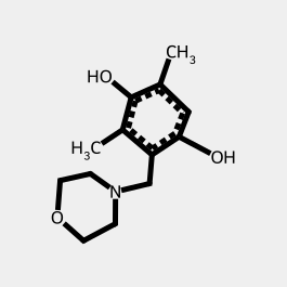 Cc1cc(O)c(CN2CCOCC2)c(C)c1O